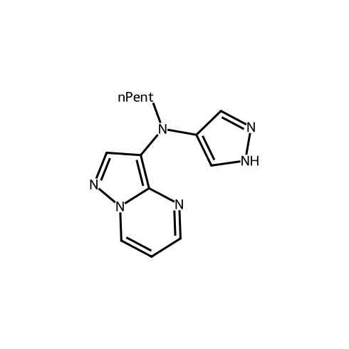 CCCCCN(c1cn[nH]c1)c1cnn2cccnc12